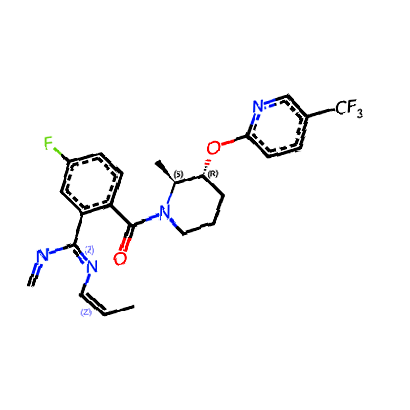 C=N/C(=N\C=C/C)c1cc(F)ccc1C(=O)N1CCC[C@@H](Oc2ccc(C(F)(F)F)cn2)[C@@H]1C